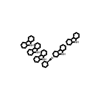 N#Cc1ccccc1.c1ccc2c(c1)[nH]c1ccccc12.c1ccc2c(c1)[nH]c1ccccc12.c1ccc2c(c1)[nH]c1ccccc12.c1ccc2c(c1)[nH]c1ccccc12.c1ccc2c(c1)[nH]c1ccccc12